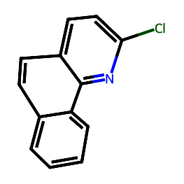 Clc1ccc2ccc3ccccc3c2n1